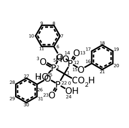 O=C(O)C(P(=O)(O)Oc1ccccc1)(P(=O)(O)Oc1ccccc1)P(=O)(O)Oc1ccccc1